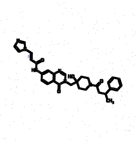 CC(CC(=O)N1CCC(O)(Cn2cnc3cc(NC(=O)/C=C/n4ccnc4)ccc3c2=O)CC1)c1ccccc1